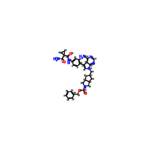 NC(=O)C1(C(=O)Nc2ccc(-c3cn(CC4CC5CN(C(=O)OCc6ccccc6)CC5C4)c4ncnc(N)c34)cc2)CC1